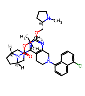 CN1CCC[C@H]1COc1nc2c(c(N3C[C@H]4CC[C@@H](C3)N4C(=O)OC(C)(C)C)n1)CCN(c1cccc3c(Cl)cccc13)C2